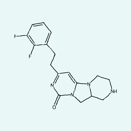 O=c1nc(CCc2cccc(F)c2F)cc2n1CC1CNCCN21